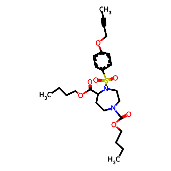 CC#CCOc1ccc(S(=O)(=O)N2CCN(C(=O)OCCCC)CCC2C(=O)OCCCC)cc1